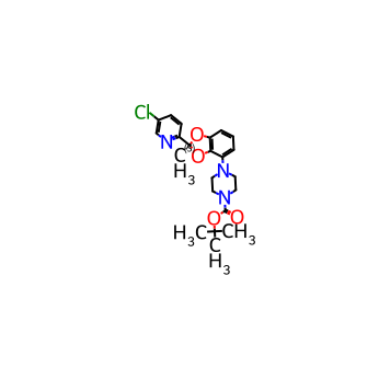 CC(C)(C)OC(=O)N1CCN(c2cccc3c2O[C@@](C)(c2ccc(Cl)cn2)O3)CC1